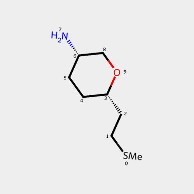 CSCC[C@@H]1CC[C@H](N)CO1